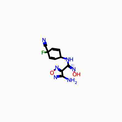 N#CC1(F)C=CC(N/C(=N/O)c2nonc2N)C=C1